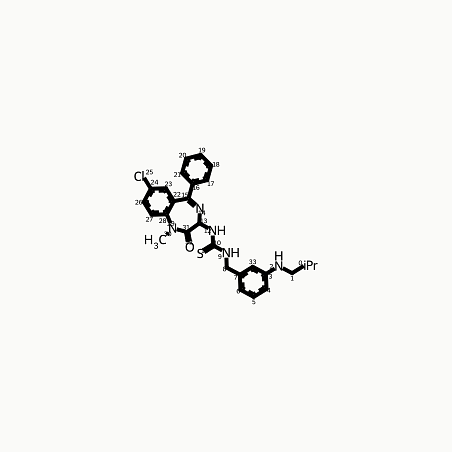 CC(C)CNc1cccc(CNC(=S)NC2N=C(c3ccccc3)c3cc(Cl)ccc3N(C)C2=O)c1